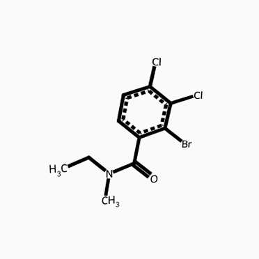 CCN(C)C(=O)c1ccc(Cl)c(Cl)c1Br